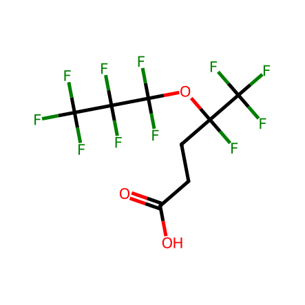 O=C(O)CCC(F)(OC(F)(F)C(F)(F)C(F)(F)F)C(F)(F)F